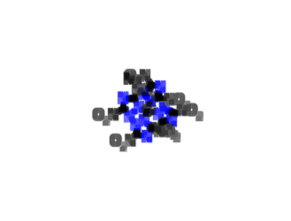 O=[N+]([O-])c1nc([N+](=O)[O-])n([B-](n2nc([N+](=O)[O-])nc2[N+](=O)[O-])(n2nc([N+](=O)[O-])nc2[N+](=O)[O-])n2nc([N+](=O)[O-])nc2[N+](=O)[O-])n1.[Na+]